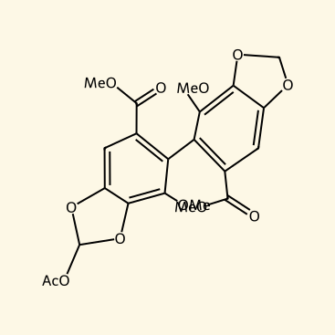 COC(=O)c1cc2c(c(OC)c1-c1c(C(=O)OC)cc3c(c1OC)OC(OC(C)=O)O3)OCO2